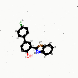 Oc1ccc(-c2ccc(F)cc2)cc1-c1nc2ccccc2s1